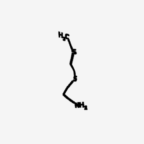 CSCSCN